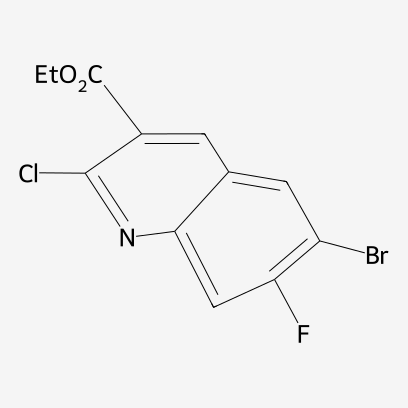 CCOC(=O)c1cc2cc(Br)c(F)cc2nc1Cl